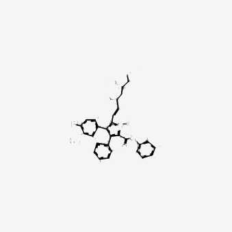 CC(C)n1c(C=C[C@@H](O)C[C@@H](O)CC(=O)[O-])c(-c2ccc(F)cc2)c(-c2ccccc2)c1C(=O)Nc1ccccc1.[Na+]